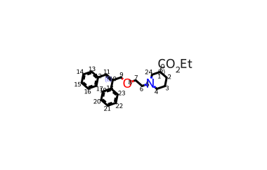 CCOC(=O)[C@@H]1CCCN(CCOC/C(=C/c2ccccc2)c2ccccc2)C1